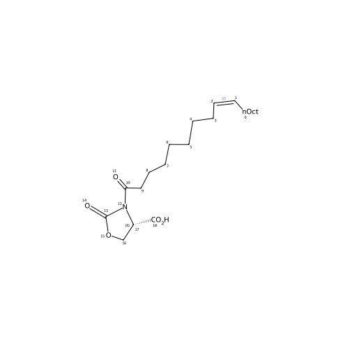 CCCCCCCC/C=C\CCCCCCCC(=O)N1C(=O)OC[C@H]1C(=O)O